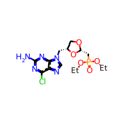 CCOP(=O)(C[C@H]1OC[C@@H](Cn2cnc3c(Cl)nc(N)nc32)O1)OCC